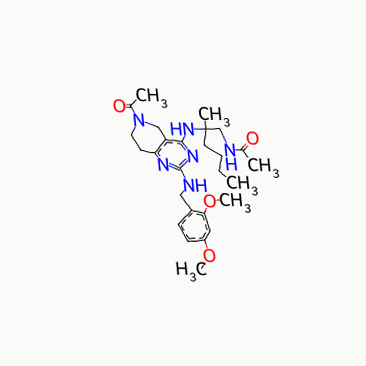 CCCCC(C)(CNC(C)=O)Nc1nc(NCc2ccc(OC)cc2OC)nc2c1CN(C(C)=O)CC2